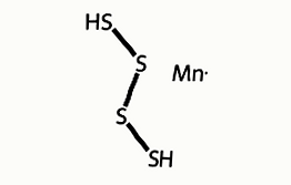 SSSS.[Mn]